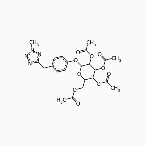 CC(=O)OCC1OC(Oc2ccc(Cc3nnn(C)n3)cc2)C(OC(C)=O)C(OC(C)=O)C1OC(C)=O